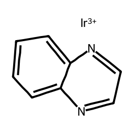 [Ir+3].c1ccc2nccnc2c1